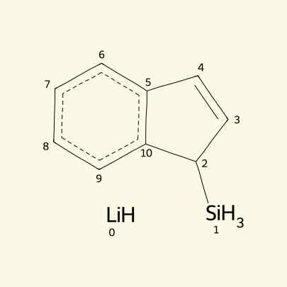 [LiH].[SiH3]C1C=Cc2ccccc21